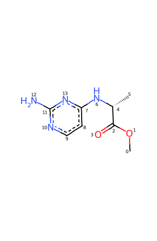 COC(=O)[C@@H](C)Nc1ccnc(N)n1